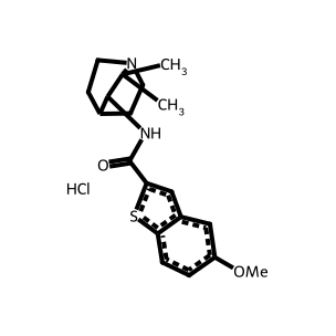 COc1ccc2sc(C(=O)NC3C4CCN(CC4)C3(C)C)cc2c1.Cl